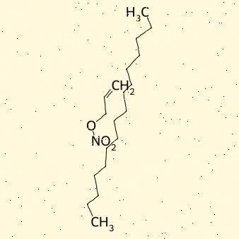 C=CCO[N+](=O)[O-].CCCCCCCCCCCCCCCC